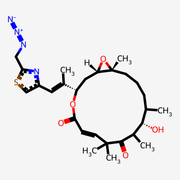 C/C(=C\c1csc(CN=[N+]=[N-])n1)[C@@H]1C[C@@H]2O[C@]2(C)CCCC(C)[C@H](O)C(C)C(=O)C(C)(C)/C=C/C(=O)O1